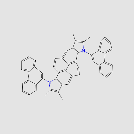 Cc1c(C)n(-c2cc3ccccc3c3ccccc23)c2c1cc1ccc3c4c(ccc2c14)cc1c(C)c(C)n(-c2cc4ccccc4c4ccccc24)c13